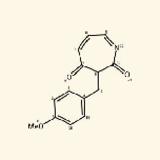 COc1ccc(CC2C(=O)C=CC=NC2=O)cc1